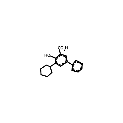 O=C(O)c1cc(-c2ccccc2)cc(C2CCCCC2)c1O